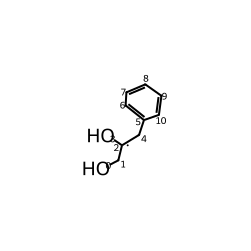 OC[C](O)Cc1ccccc1